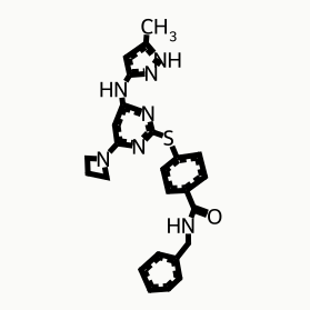 Cc1cc(Nc2cc(N3CCC3)nc(Sc3ccc(C(=O)NCc4ccccc4)cc3)n2)n[nH]1